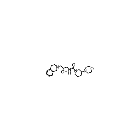 O=C(NC[C@H](O)CN1CCc2ccccc2C1)N1CCCC(N2CCOCC2)C1